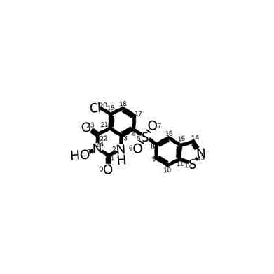 O=c1[nH]c2c(S(=O)(=O)c3ccc4sncc4c3)ccc(Cl)c2c(=O)n1O